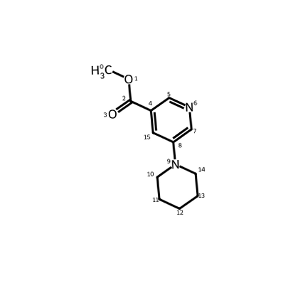 COC(=O)c1cncc(N2CCCCC2)c1